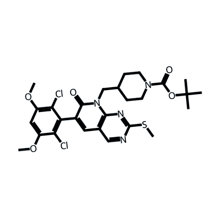 COc1cc(OC)c(Cl)c(-c2cc3cnc(SC)nc3n(CC3CCN(C(=O)OC(C)(C)C)CC3)c2=O)c1Cl